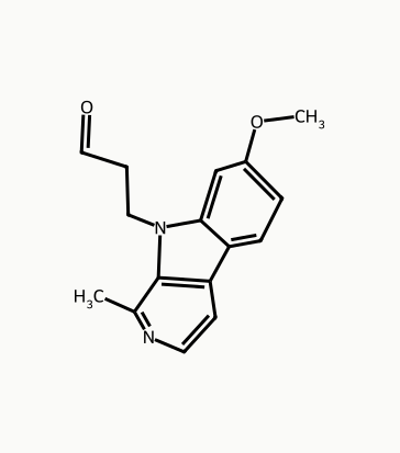 COc1ccc2c3ccnc(C)c3n(CCC=O)c2c1